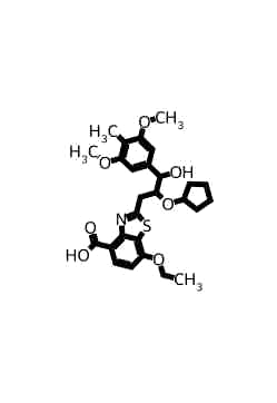 CCOc1ccc(C(=O)O)c2nc(CC(OC3CCCC3)C(O)c3cc(OC)c(C)c(OC)c3)sc12